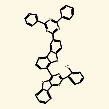 N#Cc1ccccc1-c1nc(-c2cccc3c2sc2ccc(-c4nc(-c5ccccc5)nc(-c5ccccc5)n4)cc23)c2sc3ccccc3c2n1